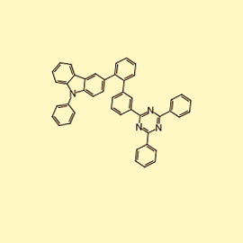 c1ccc(-c2nc(-c3ccccc3)nc(-c3cccc(-c4ccccc4-c4ccc5c(c4)c4ccccc4n5-c4ccccc4)c3)n2)cc1